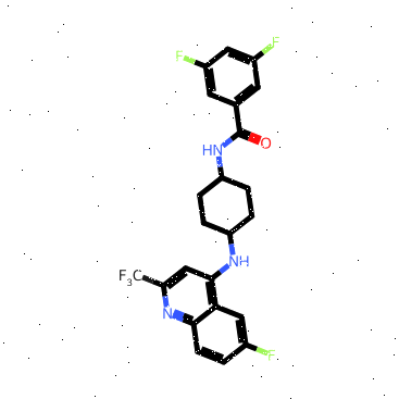 O=C(NC1CCC(Nc2cc(C(F)(F)F)nc3ccc(F)cc23)CC1)c1cc(F)cc(F)c1